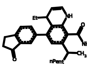 CCCCCC(C)c1cc(-c2ccc3c(c2)C(=O)CC3)c2c(c1C(N)=O)NC=CC2CC